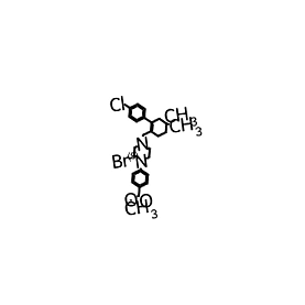 COC(=O)c1ccc(N2CCN(CC3=C(c4ccc(Cl)cc4)CC(C)(C)CC3)C[C@@H]2Br)cc1